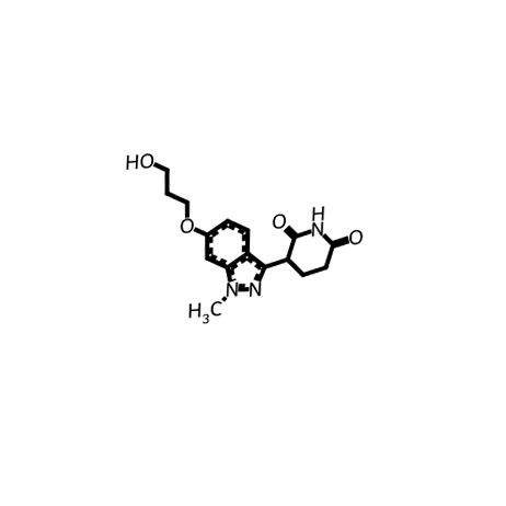 Cn1nc(C2CCC(=O)NC2=O)c2ccc(OCCCO)cc21